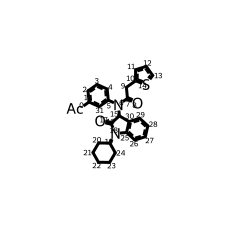 CC(=O)c1cccc(N(C(=O)Cc2cccs2)C2C(=O)N(C3CCCCC3)c3ccccc32)c1